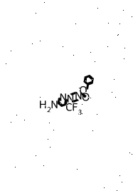 Nc1cnc(N2CCN(C(=O)OCc3ccccc3)CC2)c(C(F)(F)F)c1